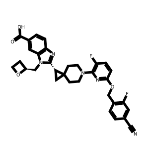 N#Cc1ccc(COc2ccc(F)c(N3CCC4(CC3)C[C@@H]4c3nc4ccc(C(=O)O)cc4n3C[C@@H]3CCO3)n2)c(F)c1